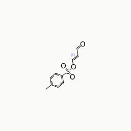 Cc1ccc(S(=O)(=O)O/C=C/C=O)cc1